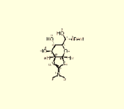 CCCCC[C@@H](O)[C@H]1O[C@@H]2SC(N(C)C)=N[C@@H]2[C@@H](O)[C@@H]1O